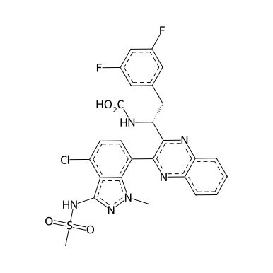 Cn1nc(NS(C)(=O)=O)c2c(Cl)ccc(-c3nc4ccccc4nc3[C@@H](Cc3cc(F)cc(F)c3)NC(=O)O)c21